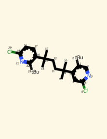 CC(C)(C)c1cnc(Cl)cc1C(C)(C)CCC(C)(C)c1ccc(Cl)nc1C(C)(C)C